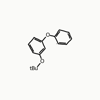 CC(C)(C)Oc1cccc(Oc2[c]cccc2)c1